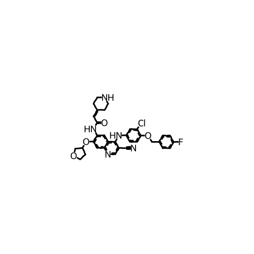 N#Cc1cnc2cc(OC3CCOC3)c(NC(=O)C=C3CCNCC3)cc2c1Nc1ccc(OCc2ccc(F)cc2)c(Cl)c1